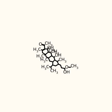 CCOC(O)CCC1CC(C(C)C)C2CC3(C)CC4(C)CC(C)=C(C(C)=O)C(O)C4(C)C(C)C3C(O)C2C1C